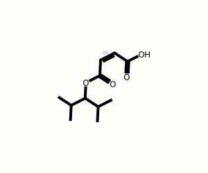 CC(C)C(OC(=O)/C=C\C(=O)O)C(C)C